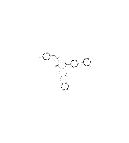 CC(C)(Cc1ccc(F)cc1)NC(=O)[C@H](C[C@H](Cc1ccccc1)C(O)O)NC(=O)c1ccc(-c2ccccc2)cc1